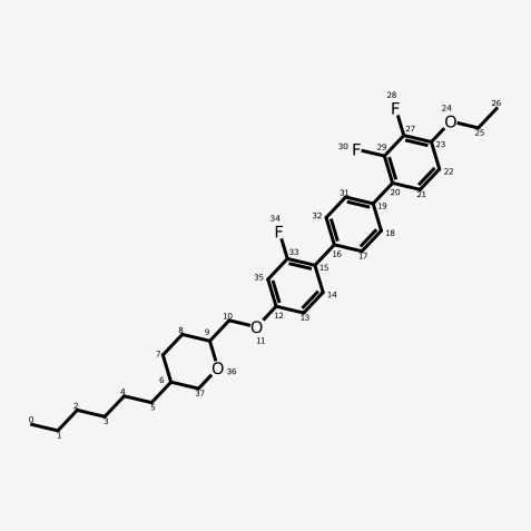 CCCCCCC1CCC(COc2ccc(-c3ccc(-c4ccc(OCC)c(F)c4F)cc3)c(F)c2)OC1